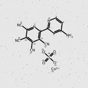 N#Cc1nc(-c2cc(N)ccn2)c(C#N)c(C#N)c1C#N.O=S(=O)([O-])[O-].[Co+2]